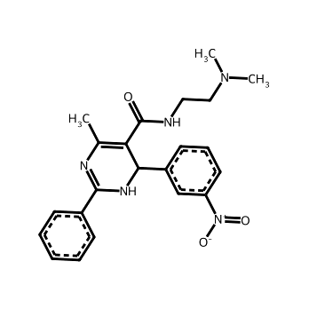 CC1=C(C(=O)NCCN(C)C)C(c2cccc([N+](=O)[O-])c2)NC(c2ccccc2)=N1